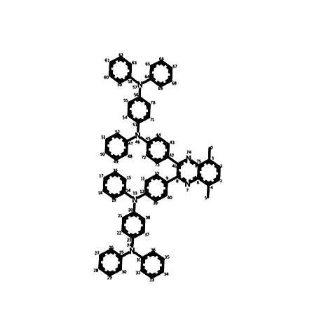 Cc1ccc(C)c2nc(-c3ccc(N(c4ccccc4)c4ccc(N(c5ccccc5)c5ccccc5)cc4)cc3)c(-c3ccc(N(c4ccccc4)c4ccc(N(c5ccccc5)c5ccccc5)cc4)cc3)nc12